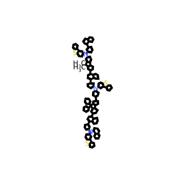 CC1(C)c2cc(-c3ccc(-c4cccc(N(c5ccc(-c6ccc7c(c6)C(c6ccccc6)(c6ccccc6)c6cc(-c8ccc(-c9cccc(N(c%10ccc%11sc%12ccccc%12c%11c%10)c%10cccc%11ccccc%10%11)c9)c9ccccc89)ccc6-7)cc5)c5ccc6sc7ccccc7c6c5)c4)c4ccccc34)ccc2-c2ccc(N(c3cccc(-c4cccc5ccccc45)c3)c3ccc4sc5ccccc5c4c3)cc21